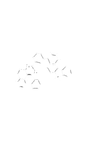 CC1(C)c2ccccc2-c2c1ccc1c(-c3cccc(-c4nc(-c5ccccc5)c5c(ccc6ccccc65)n4)c3)cccc21